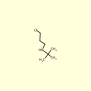 CC(C)(C)NCCCCl